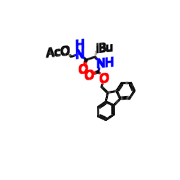 CCC(C)[C@H](NC(=O)OCC1c2ccccc2-c2ccccc21)C(=O)NCOC(C)=O